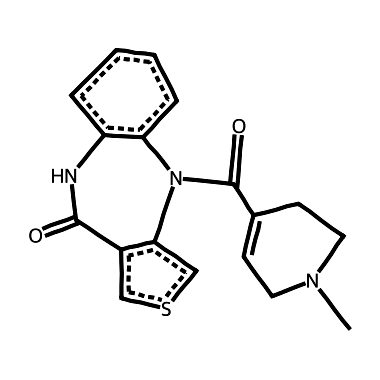 CN1CC=C(C(=O)N2c3ccccc3NC(=O)c3cscc32)CC1